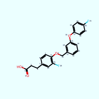 O=C(O)CCc1ccc(OCc2cccc(Oc3ccc(F)cc3)c2)c(F)c1